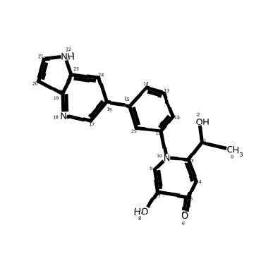 CC(O)c1cc(=O)c(O)cn1-c1cccc(-c2cnc3cc[nH]c3c2)c1